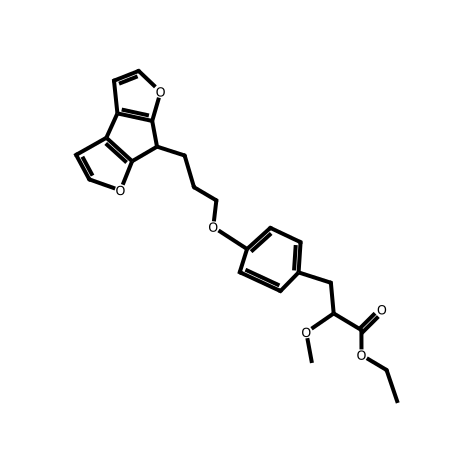 CCOC(=O)C(Cc1ccc(OCCCC2c3occc3-c3ccoc32)cc1)OC